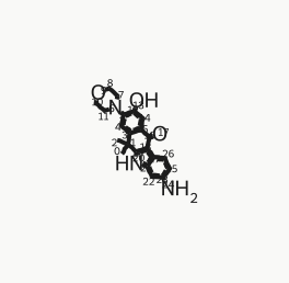 CC1(C)c2cc(N3CCOCC3)c(O)cc2C(=O)c2c1[nH]c1cc(N)ccc21